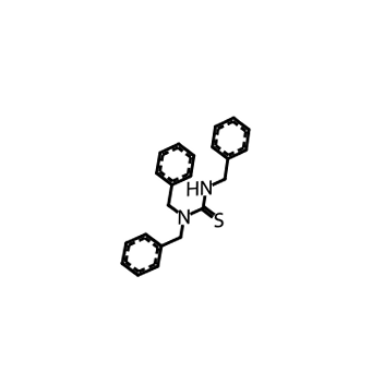 S=C(NCc1ccccc1)N(Cc1ccccc1)Cc1ccccc1